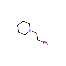 PCCN1CCCCC1